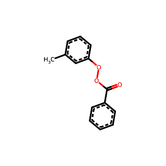 Cc1cccc(OOC(=O)c2ccccc2)c1